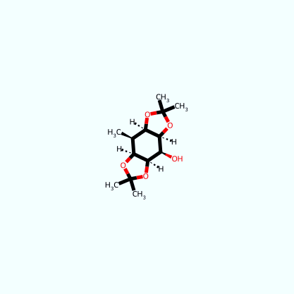 C[C@H]1[C@H]2OC(C)(C)O[C@H]2[C@@H](O)[C@H]2OC(C)(C)O[C@@H]12